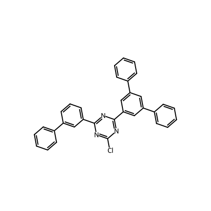 Clc1nc(-c2cccc(-c3ccccc3)c2)nc(-c2cc(-c3ccccc3)cc(-c3ccccc3)c2)n1